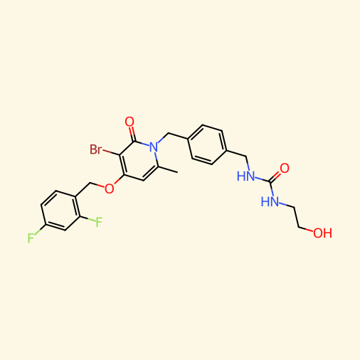 Cc1cc(OCc2ccc(F)cc2F)c(Br)c(=O)n1Cc1ccc(CNC(=O)NCCO)cc1